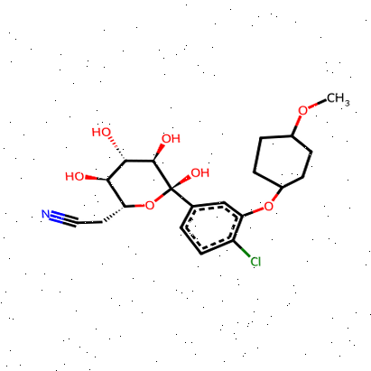 COC1CCC(Oc2cc([C@]3(O)O[C@H](CC#N)[C@@H](O)[C@H](O)[C@H]3O)ccc2Cl)CC1